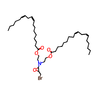 CCCCC/C=C\C/C=C\CCCCCCCC(=O)OCCN(CCOC(=O)CCCCCCC/C=C\C/C=C\CCCCC)C1OC1CBr